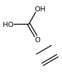 C=C.CC.O=C(O)O